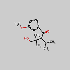 COc1cccc(C(=O)C(C(C)C)C(C)(C)CO)c1